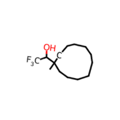 CC1(C(O)C(F)(F)F)CCCCCCCCCC1